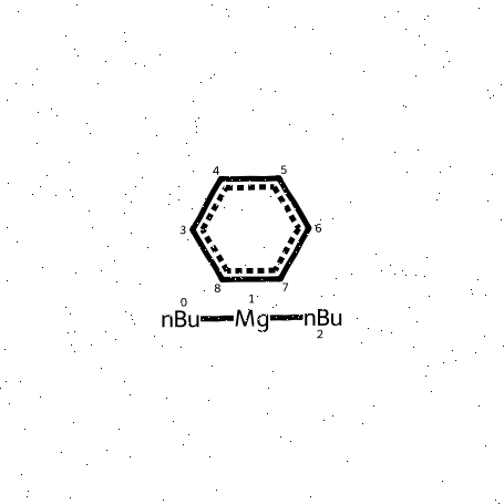 CCC[CH2][Mg][CH2]CCC.c1ccccc1